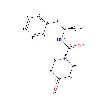 O=[C][C@H](Cc1ccccc1)NC(=O)N1CCC(=O)CC1